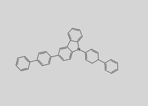 C1=CC(c2ccccc2)CC=C1n1c2ccccc2c2cc(-c3ccc(-c4ccccc4)cc3)ccc21